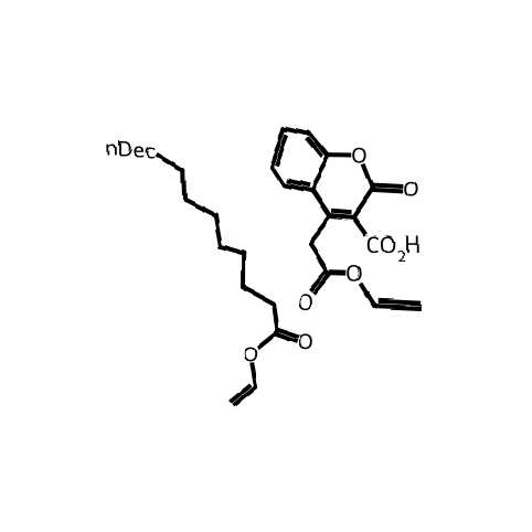 C=COC(=O)CCCCCCCCCCCCCCCCC.C=COC(=O)Cc1c(C(=O)O)c(=O)oc2ccccc12